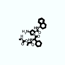 CNC(=O)OC(C)C(=O)NC(C(=O)N1C[C@@H](N)C[C@H]1C(=O)N[C@@H]1CCCc2ccccc21)C1CCCCC1